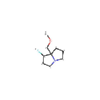 CC(C)OCC12CCCN1CCC2F